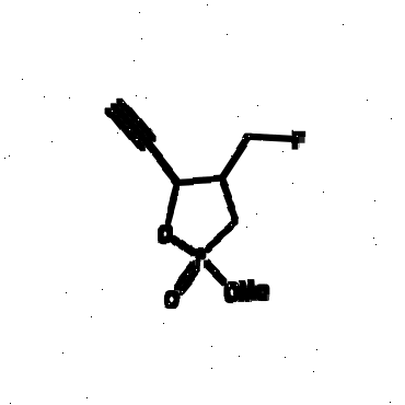 C#CC1OP(=O)(OC)CC1CF